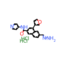 Cl.Cl.NN=Cc1ccc2cc(C(=O)Nc3ccncc3)cc(-c3ccoc3)c2c1